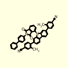 Cc1cc(C#N)ccc1-c1ccc2c3ccc(-c4ccc(C#N)cc4C)cc3n(-c3cccc4c3C(=O)N(c3ccc(-c5ccccc5)cc3)C4=O)c2c1